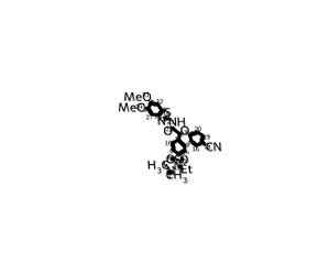 CCN(N(C)C)S(=O)(=O)c1ccc(C(Oc2ccc(C#N)cc2)C(=O)Nc2nc3cc(OC)c(OC)cc3s2)cc1